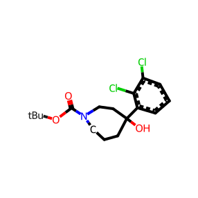 CC(C)(C)OC(=O)N1CCCC(O)(c2cccc(Cl)c2Cl)CC1